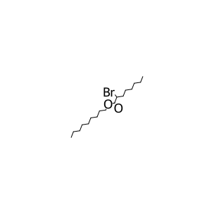 CCCCCCCCCOC(=O)C(Br)CCCCCC